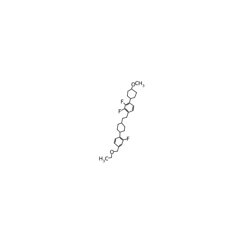 CCOCc1ccc(C2CCC(CCc3ccc(C4CCC(OC)CC4)c(F)c3F)CC2)c(F)c1